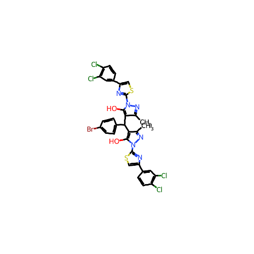 Cc1nn(-c2nc(-c3ccc(Cl)c(Cl)c3)cs2)c(O)c1C(c1ccc(Br)cc1)c1c(C)nn(-c2nc(-c3ccc(Cl)c(Cl)c3)cs2)c1O